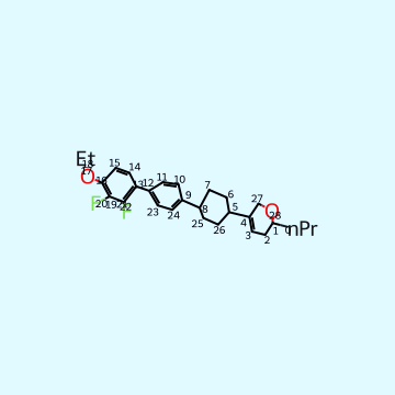 CCCC1CC=C(C2CCC(c3ccc(-c4ccc(OCC)c(F)c4F)cc3)CC2)CO1